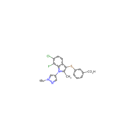 Cc1c(Sc2cccc(C(=O)O)c2)c2ccc(Cl)c(F)c2n1-c1cnn(C(C)(C)C)c1